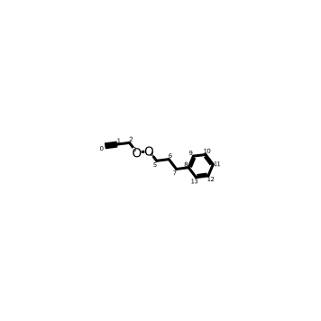 C#CCOOCCCc1ccccc1